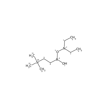 CCN(CC)OB(O)CC[Si](C)(C)C